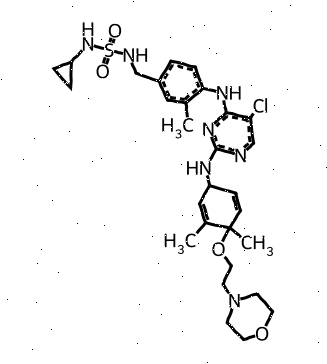 CC1=CC(Nc2ncc(Cl)c(Nc3ccc(CNS(=O)(=O)NC4CC4)cc3C)n2)C=CC1(C)OCCN1CCOCC1